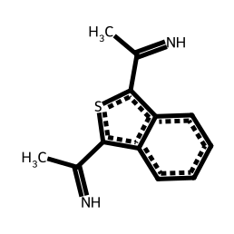 CC(=N)c1sc(C(C)=N)c2ccccc12